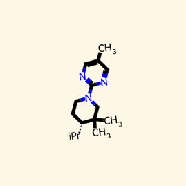 Cc1cnc(N2CC[C@@H](C(C)C)C(C)(C)C2)nc1